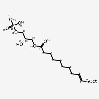 CCCCCCCCC=CCCCCCCCC(=O)OC[C@H](O)COP(=O)(O)O